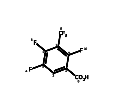 O=C(O)c1cc(F)c(F)c(C(F)(F)F)c1F